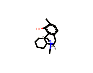 Cc1ccc2c(c1O)[C@@]13CCCCC1[C@@H](C2)N(C)CC3